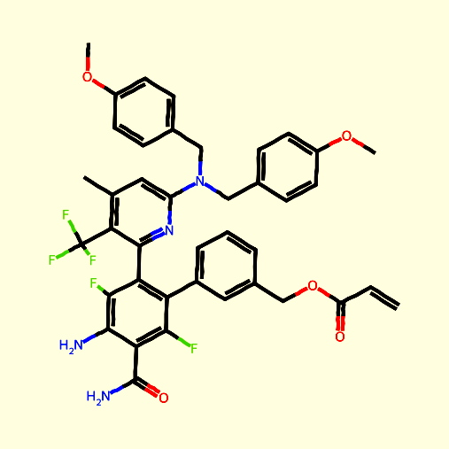 C=CC(=O)OCc1cccc(-c2c(F)c(C(N)=O)c(N)c(F)c2-c2nc(N(Cc3ccc(OC)cc3)Cc3ccc(OC)cc3)cc(C)c2C(F)(F)F)c1